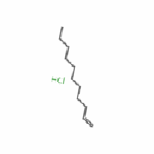 C=CCCCCCCCCC.Cl